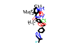 CSc1cc(C)[nH]c(=O)c1CNC(=O)c1cc(Cl)c2c(c1C)O[C@@H](C1CCC(N3CC(CF)C3)CC1)CO2